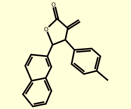 C=C1C(=O)OC(c2ccc3ccccc3c2)C1c1ccc(C)cc1